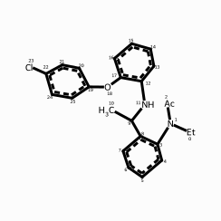 CCN(C(C)=O)c1ccccc1C(C)Nc1ccccc1Oc1ccc(Cl)cc1